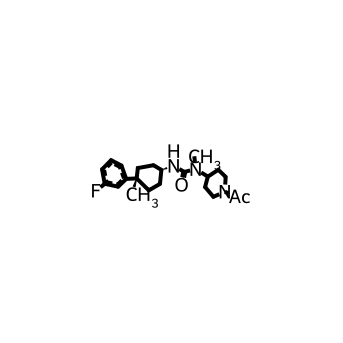 CC(=O)N1CCC(N(C)C(=O)N[C@H]2CC[C@@](C)(c3cccc(F)c3)CC2)CC1